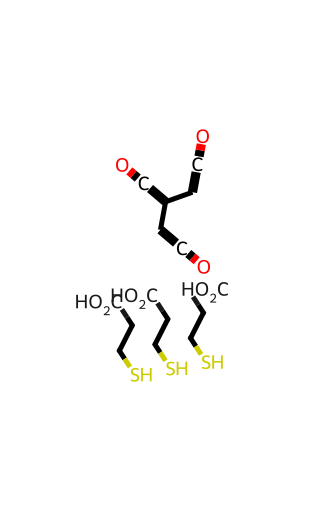 O=C(O)CCS.O=C(O)CCS.O=C(O)CCS.O=C=CC(=C=O)C=C=O